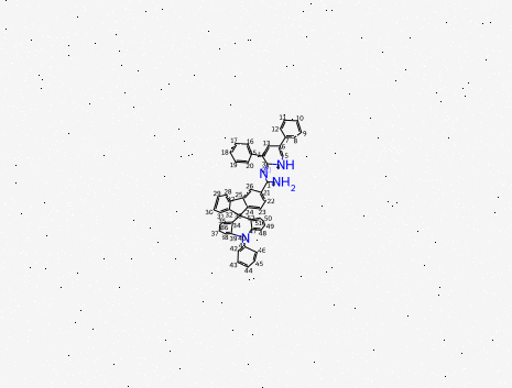 NC(/N=c1\[nH]cc(-c2ccccc2)cc1-c1ccccc1)c1ccc2c(c1)-c1ccccc1C21c2ccccc2N(c2ccccc2)c2ccccc21